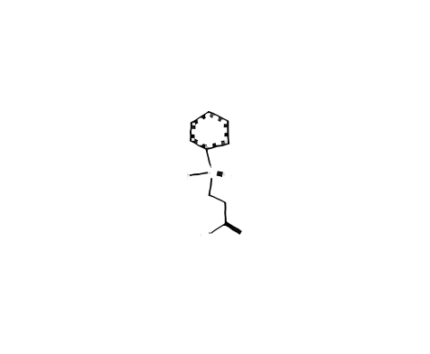 O=C(Cl)CCP(=O)(Cl)c1ccccc1